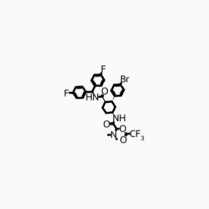 CN(C)C(OC(=O)C(F)(F)F)C(=O)N[C@@H]1CC[C@@H](C(=O)NC(c2ccc(F)cc2)c2ccc(F)cc2)[C@H](c2ccc(Br)cc2)C1